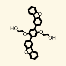 OCCOc1cc(-c2ccc3oc4ccccc4c3c2)c(OCCO)cc1-c1ccc2oc3ccccc3c2c1